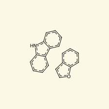 c1ccc2c(c1)[nH]c1ccccc12.c1ccc2occc2c1